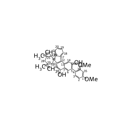 COc1ccc(-c2cc3c(O)cc4c(c3cc2O)-c2ccccc2C42CC(C)(C)CC(C)(C)C2)c(OC)c1